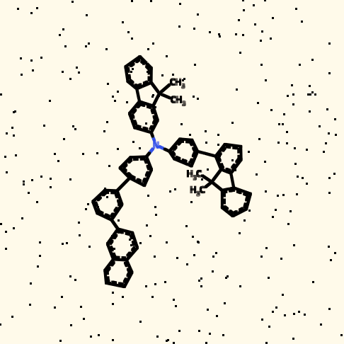 CC1(C)c2ccccc2-c2ccc(N(c3ccc(-c4cccc(-c5ccc6ccccc6c5)c4)cc3)c3ccc(-c4cccc5c4C(C)(C)c4ccccc4-5)cc3)cc21